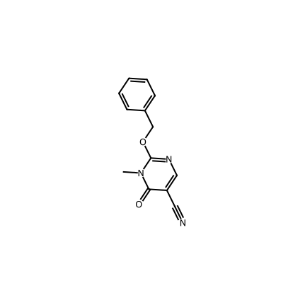 Cn1c(OCc2ccccc2)ncc(C#N)c1=O